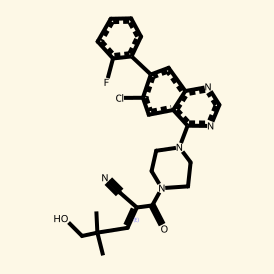 CC(C)(/C=C(\C#N)C(=O)N1CCN(c2ncnc3cc(-c4ccccc4F)c(Cl)cc23)CC1)CO